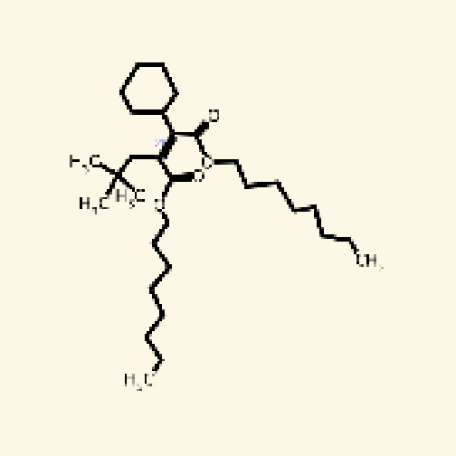 CCCCCCCCOC(=O)/C(CC(C)(C)C)=C(\C(=O)OCCCCCCCC)C1CCCCC1